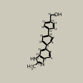 Cc1nc2ccc(-c3ccc(-c4ccc(CO)cc4)cc3)cc2[nH]1